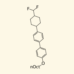 CCCCCCCCOc1ccc(-c2ccc(C3CCC(C(F)F)CC3)cc2)cc1